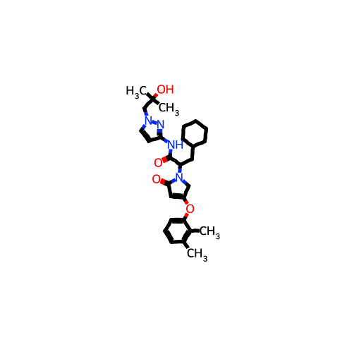 Cc1cccc(OC2=CC(=O)N(C(CC3CCCCC3)C(=O)Nc3ccn(CC(C)(C)O)n3)C2)c1C